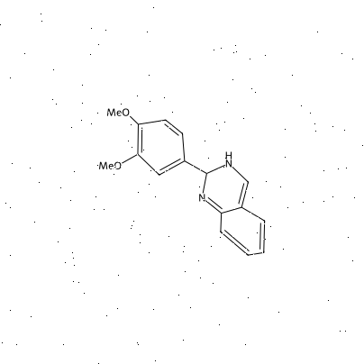 COc1ccc(C2N=c3ccccc3=CN2)cc1OC